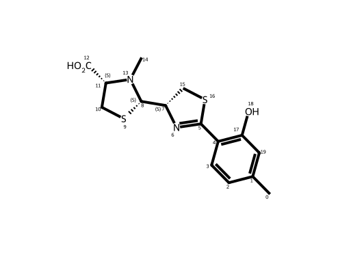 Cc1ccc(C2=N[C@H]([C@@H]3SC[C@H](C(=O)O)N3C)CS2)c(O)c1